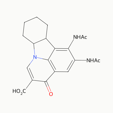 CC(=O)Nc1cc2c(=O)c(C(=O)O)cn3c2c(c1NC(C)=O)C1CCCCC13